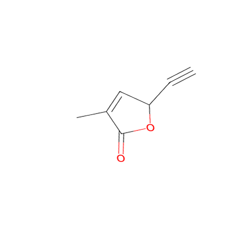 C#CC1C=C(C)C(=O)O1